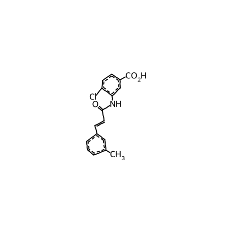 Cc1cccc(C=CC(=O)Nc2cc(C(=O)O)ccc2Cl)c1